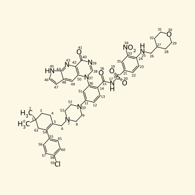 CC1(C)CCC(CN2CCN(c3ccc(C(=O)NS(=O)(=O)c4ccc(NCC5CCOCC5)c([N+](=O)[O-])c4)c(-n4cnc(=O)c5nc6[nH]ccc6cc54)c3)CC2)=C(c2ccc(Cl)cc2)C1